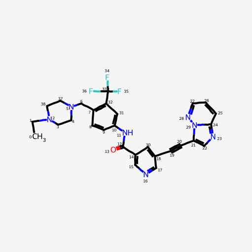 CCN1CCN(Cc2ccc(NC(=O)c3cncc(C#Cc4cnc5cccnn45)c3)cc2C(F)(F)F)CC1